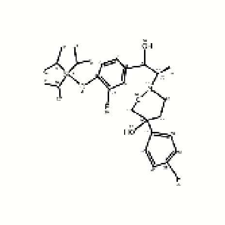 CC(C)[Si](Oc1ccc(C(O)[C@@H](C)N2CCC(O)(c3ccc(F)cc3)CC2)cc1F)(C(C)C)C(C)C